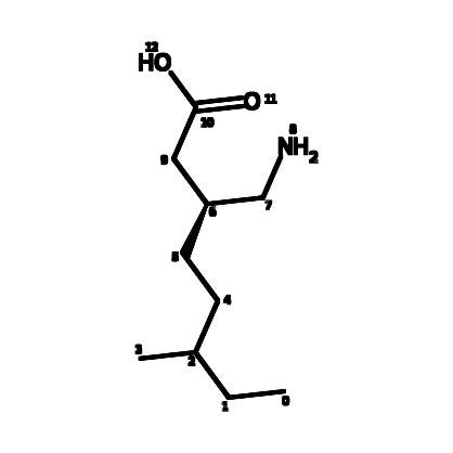 CCC(C)CC[C@H](CN)CC(=O)O